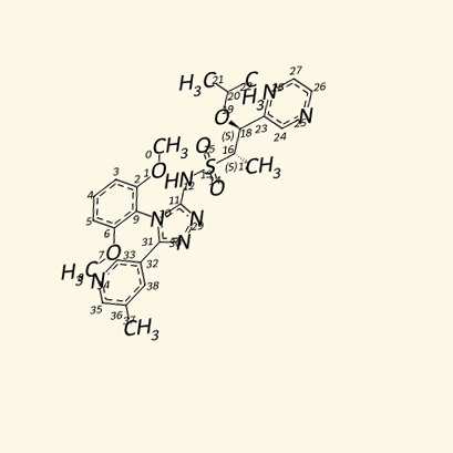 COc1cccc(OC)c1-n1c(NS(=O)(=O)[C@@H](C)[C@@H](OC(C)C)c2cnccn2)nnc1-c1cncc(C)c1